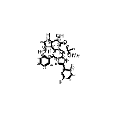 COC(C)(C)[C@H](c1nc(-c2cc(F)ccc2F)cn1Cc1ccccc1)N1C[C@@H]2C(NC[C@H]2O)[C@H](O)C1=O